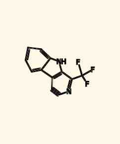 FC(F)(F)c1nc#cc2c1[nH]c1ccccc12